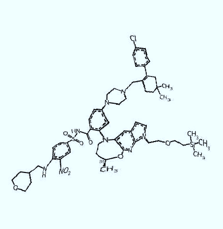 C[C@H]1CCN(c2cc(N3CCN(CC4=C(c5ccc(Cl)cc5)CC(C)(C)CC4)CC3)ccc2C(=O)NS(=O)(=O)c2ccc(NCC3CCOCC3)c([N+](=O)[O-])c2)c2cc3ccn(CCOCC[Si](C)(C)C)c3nc2O1